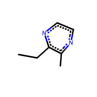 CCc1nccnc1C